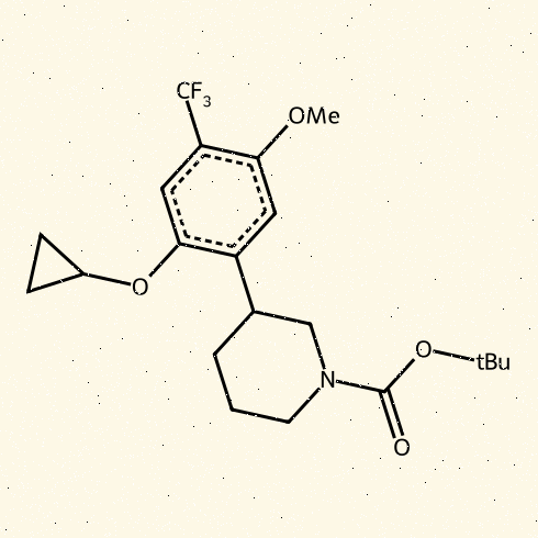 COc1cc(C2CCCN(C(=O)OC(C)(C)C)C2)c(OC2CC2)cc1C(F)(F)F